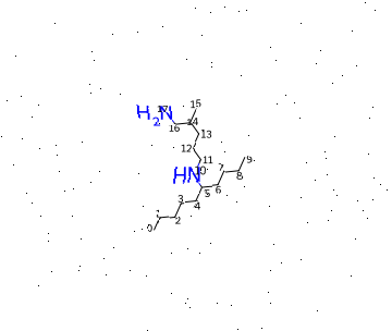 CCCCCC(CCCC)NCCCC(C)CN